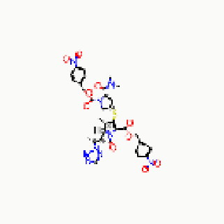 C[C@H]([C@H]1C(=O)N2C(C(=O)OCc3ccc([N+](=O)[O-])cc3)=C(S[C@H]3C[C@@H](C(=O)N(C)C)N(C(=O)OCc4ccc([N+](=O)[O-])cc4)C3)[C@H](C)[C@H]12)n1ncnn1